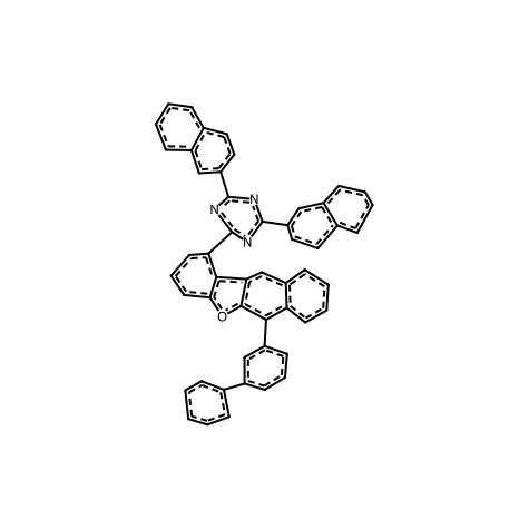 c1ccc(-c2cccc(-c3c4ccccc4cc4c3oc3cccc(-c5nc(-c6ccc7ccccc7c6)nc(-c6ccc7ccccc7c6)n5)c34)c2)cc1